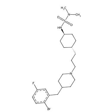 CN(C)S(=O)(=O)N[C@H]1CC[C@H](CCCN2CCC(Cc3cc(F)ccc3Br)CC2)CC1